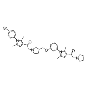 Cc1cc(C(=O)CN2CCCC2)c(C)n1-c1cccc(OCC2CCN(CC(=O)c3cc(C)n(-c4ccc(Br)cc4)c3C)C2)c1